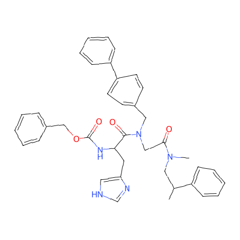 CC(CN(C)C(=O)CN(Cc1ccc(-c2ccccc2)cc1)C(=O)C(Cc1c[nH]cn1)NC(=O)OCc1ccccc1)c1ccccc1